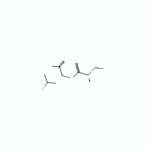 C=C(N[C@H](CC(C)C)C(=O)O)[C@H](N)CN